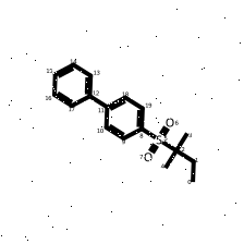 CCC(C)(C)S(=O)(=O)c1ccc(-c2ccccc2)cc1